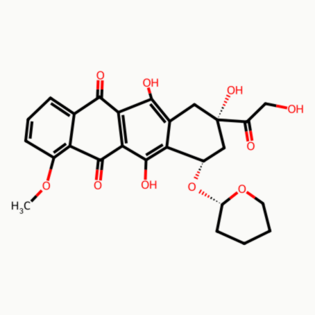 COc1cccc2c1C(=O)c1c(O)c3c(c(O)c1C2=O)C[C@@](O)(C(=O)CO)C[C@@H]3O[C@H]1CCCCO1